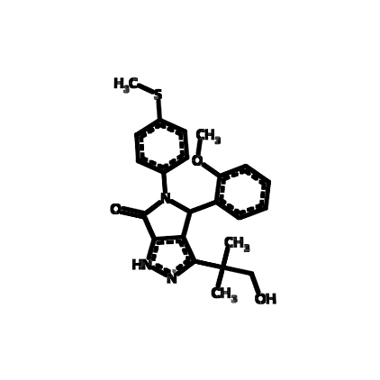 COc1ccccc1C1c2c(C(C)(C)CO)n[nH]c2C(=O)N1c1ccc(SC)cc1